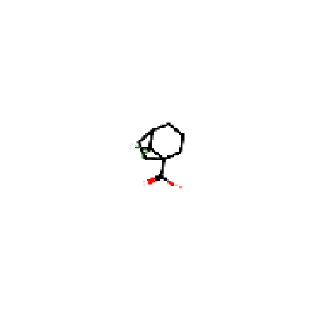 O=C(O)C12CCCC(CC1)C2(F)F